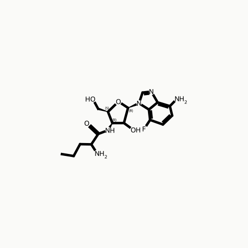 CCCC(N)C(=O)N[C@@H]1C(O)[C@H](n2cnc3c(N)ccc(F)c32)O[C@@H]1CO